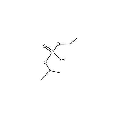 CCOP(=S)(S)OC(C)C